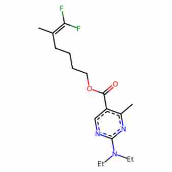 CCN(CC)c1ncc(C(=O)OCCCCC(C)=C(F)F)c(C)n1